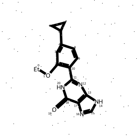 CCOc1cc(C2CC2)ccc1-c1nc2[nH]cnc2c(=O)[nH]1